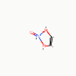 O=[n+]1occo1